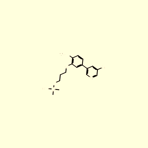 COc1ccc(-c2cncc(Br)c2)cc1OCCCO[Si](C)(C)C(C)(C)C